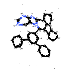 c1ccc(-c2cc(-c3ccccc3)cc(-c3c4c5ccccc5c5cccc(c54)c4nc5ncncc5n34)c2)cc1